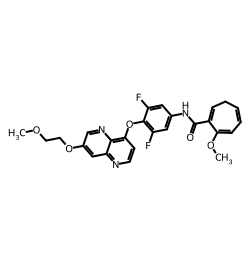 COCCOc1cnc2c(Oc3c(F)cc(NC(=O)C4=CCC=CC=C4OC)cc3F)ccnc2c1